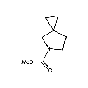 COC(=O)N1CCC2(CC2)C1